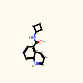 O=C(NC1CCC1)c1cccc2ncccc12